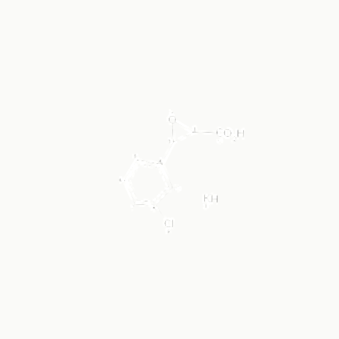 O=C(O)C1OC1c1cccc(Cl)c1.[KH]